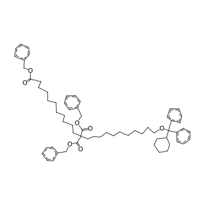 O=C(CCCCCCCCCCC(CCCCCCCCCCCOC(c1ccccc1)(c1ccccc1)C1CCCCC1)(C(=O)OCc1ccccc1)C(=O)OCc1ccccc1)OCc1ccccc1